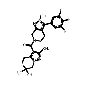 Cc1nn2c(c1C(=O)N1CCc3c(nn(C)c3-c3cc(F)c(F)c(F)c3)C1)COC(C)(C)C2